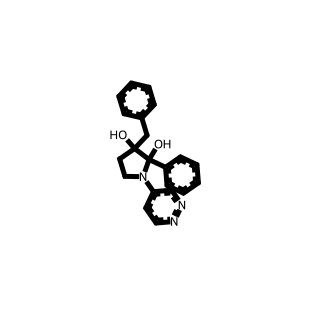 OC1(Cc2ccccc2)CCN(c2ccnnc2)C1(O)c1ccccc1